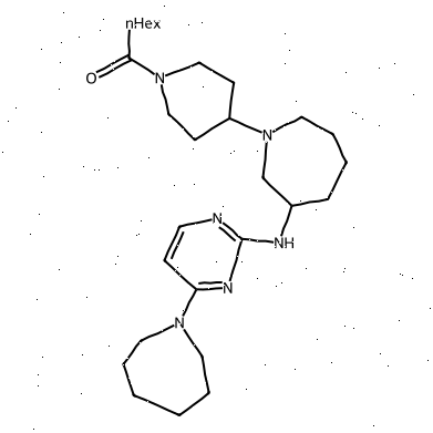 CCCCCCC(=O)N1CCC(N2CCCCC(Nc3nccc(N4CCCCCC4)n3)C2)CC1